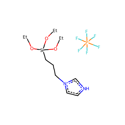 CCO[Si](CCC[n+]1cc[nH]c1)(OCC)OCC.F[P-](F)(F)(F)(F)F